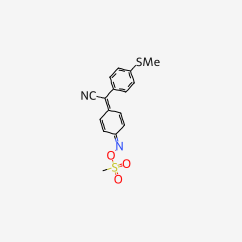 CSc1ccc(C(C#N)=C2C=CC(=NOS(C)(=O)=O)C=C2)cc1